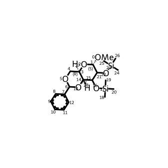 CO[C@H]1O[C@@H]2COC(c3ccccc3)O[C@H]2C(O[Si](C)(C)C)C1O[Si](C)(C)C